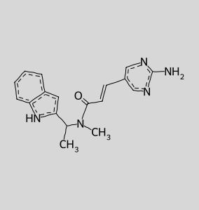 CC(c1cc2ccccc2[nH]1)N(C)C(=O)C=Cc1cnc(N)nc1